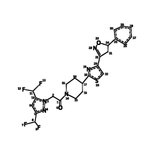 O=C(Cn1nc(C(F)F)cc1C(F)F)N1CCC(c2nc(C3=NOC(c4[c]cccc4)C3)cs2)CC1